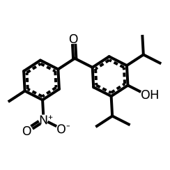 Cc1ccc(C(=O)c2cc(C(C)C)c(O)c(C(C)C)c2)cc1[N+](=O)[O-]